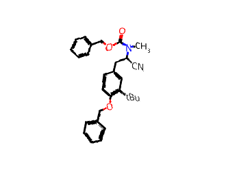 CN(C(=O)OCc1ccccc1)C(C#N)Cc1ccc(OCc2ccccc2)c(C(C)(C)C)c1